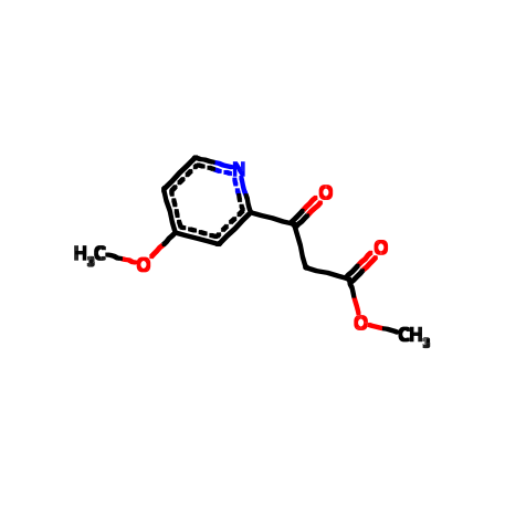 COC(=O)CC(=O)c1cc(OC)ccn1